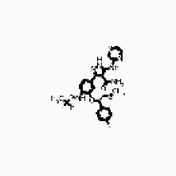 COC[C@H](Oc1cc(-c2n[nH]c(Nc3cnccn3)c2C(N)=O)ccc1NSC(C)(F)F)c1ccc(F)cc1